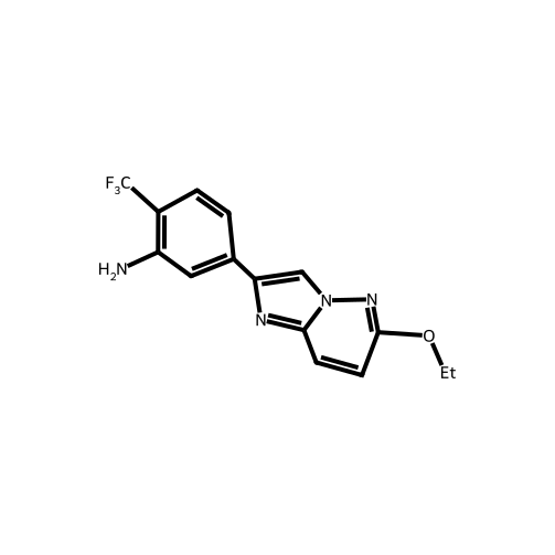 CCOc1ccc2nc(-c3ccc(C(F)(F)F)c(N)c3)cn2n1